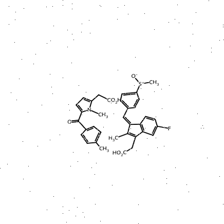 CC1=C(CC(=O)O)c2cc(F)ccc2/C1=C\c1ccc([S+](C)[O-])cc1.Cc1ccc(C(=O)c2ccc(CC(=O)O)n2C)cc1